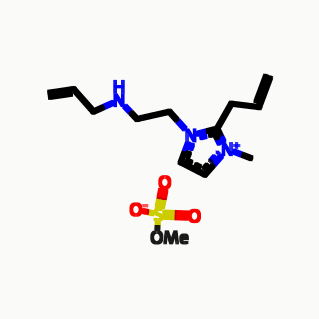 C=CCNCCn1cc[n+](C)c1CC=C.COS(=O)(=O)[O-]